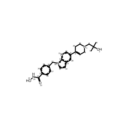 CC(C)(O)CN1CC=C(c2cnc3c(ccn3Cc3ccc(C(=O)NO)cc3)c2)CC1